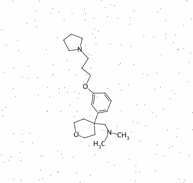 CN(C)CC1(c2cccc(OCCCN3CCCC3)c2)CCOCC1